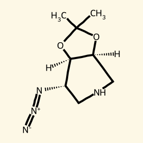 CC1(C)O[C@@H]2[C@@H](N=[N+]=[N-])CNC[C@@H]2O1